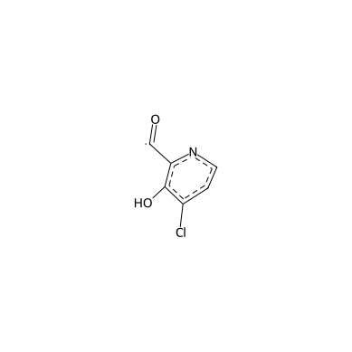 O=[C]c1nccc(Cl)c1O